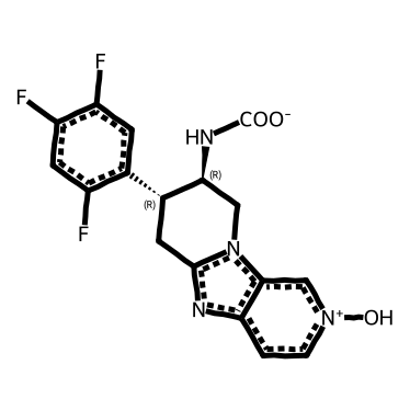 O=C([O-])N[C@H]1Cn2c(nc3cc[n+](O)cc32)C[C@@H]1c1cc(F)c(F)cc1F